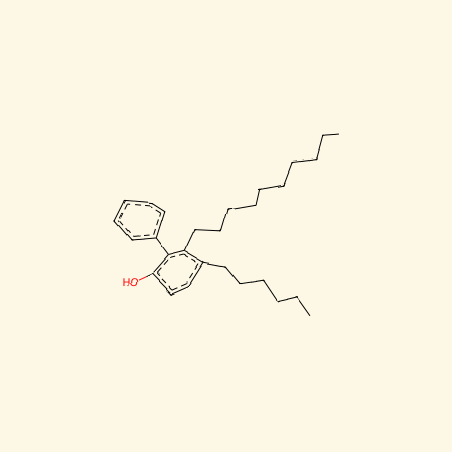 CCCCCCCCCCc1c(CCCCCC)ccc(O)c1-c1ccccc1